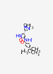 Cn1cc(-c2c[nH]c(=O)c(NC(=O)c3ccc(C(C)(C)C)cc3)c2)cn1